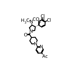 CC(=O)c1ccc(N2CCC(C(=O)N3C[C@@H](N(C)C(=O)O)[C@H](c4ccc(Cl)c(Cl)c4)C3)CC2)nc1